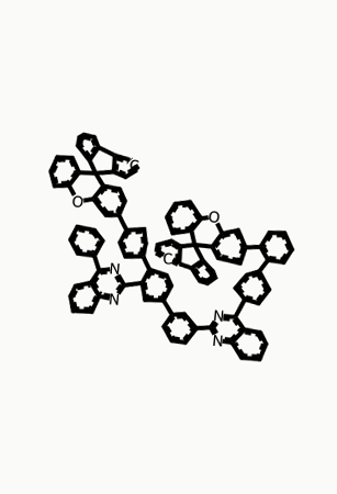 c1ccc(-c2nc(-c3cc(-c4cccc(-c5nc(-c6ccc(-c7ccccc7-c7ccc8c(c7)Oc7ccccc7C87c8ccccc8-c8ccccc87)cc6)c6ccccc6n5)c4)ccc3-c3ccc(-c4ccc5c(c4)Oc4ccccc4C54c5ccccc5-c5ccccc54)cc3)nc3ccccc23)cc1